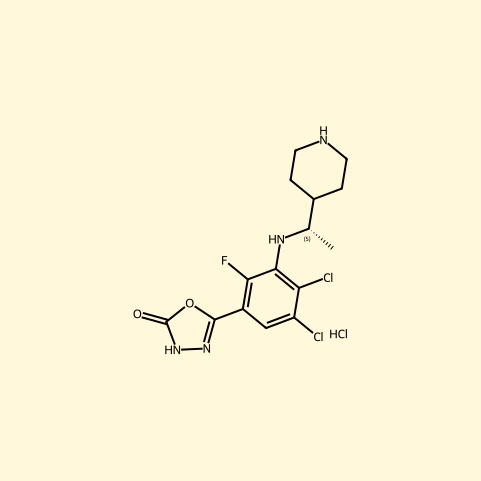 C[C@H](Nc1c(F)c(-c2n[nH]c(=O)o2)cc(Cl)c1Cl)C1CCNCC1.Cl